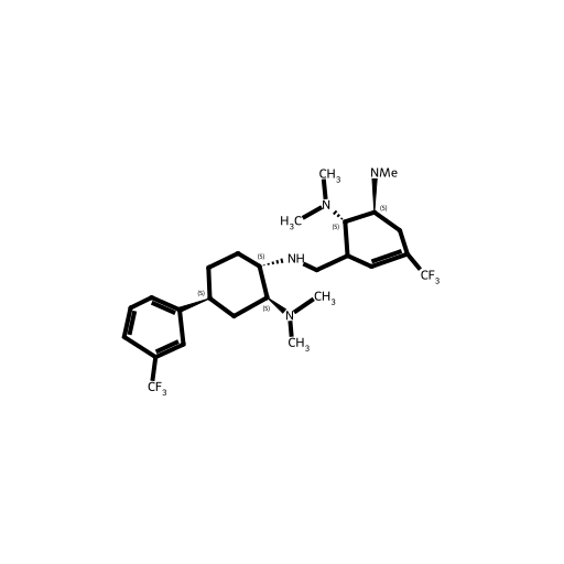 CN[C@H]1CC(C(F)(F)F)=CC(CN[C@H]2CC[C@H](c3cccc(C(F)(F)F)c3)C[C@@H]2N(C)C)[C@@H]1N(C)C